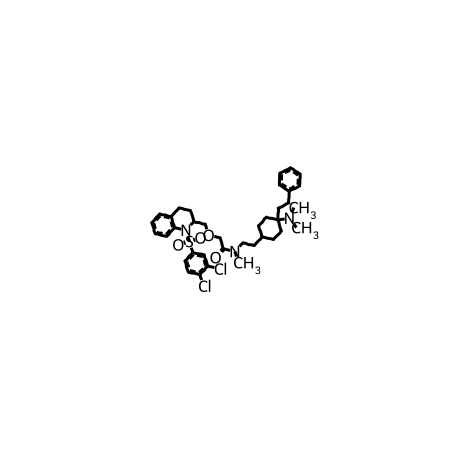 CN(CCC1CCC(CCc2ccccc2)(N(C)C)CC1)C(=O)COCC1CCc2ccccc2N1S(=O)(=O)c1ccc(Cl)c(Cl)c1